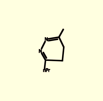 CCCC1=NN=C(C)CC1